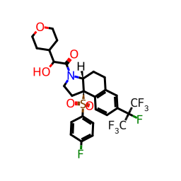 O=C(C(O)C1CCOCC1)N1CC[C@@]2(S(=O)(=O)c3ccc(F)cc3)c3ccc(C(F)(C(F)(F)F)C(F)(F)F)cc3CC[C@@H]12